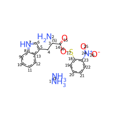 N.N.N[C@@H](Cc1c[nH]c2ccccc12)C(=O)OSc1ccccc1[N+](=O)[O-]